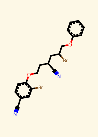 N#Cc1ccc(OCCC(C#N)CC(Br)COc2ccccc2)c(Br)c1